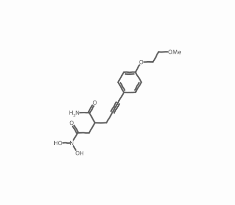 COCCOc1ccc(C#CCC(CC(=O)N(O)O)C(N)=O)cc1